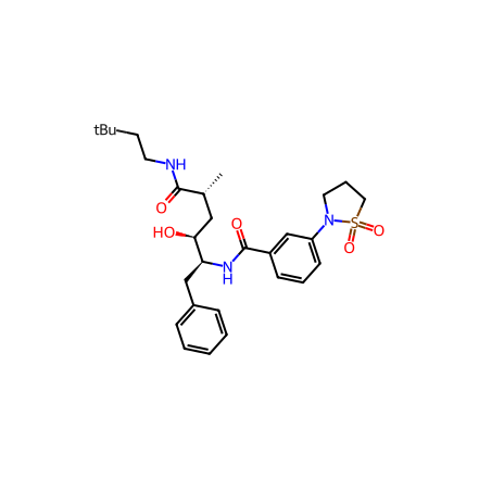 C[C@H](C[C@H](O)[C@H](Cc1ccccc1)NC(=O)c1cccc(N2CCCS2(=O)=O)c1)C(=O)NCCC(C)(C)C